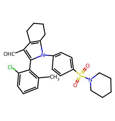 Cc1cccc(Cl)c1-c1c(C=O)c2c(n1-c1ccc(S(=O)(=O)N3CCCCC3)cc1)CCCC2